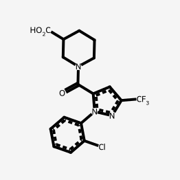 O=C(O)C1CCCN(C(=O)c2cc(C(F)(F)F)nn2-c2ccccc2Cl)C1